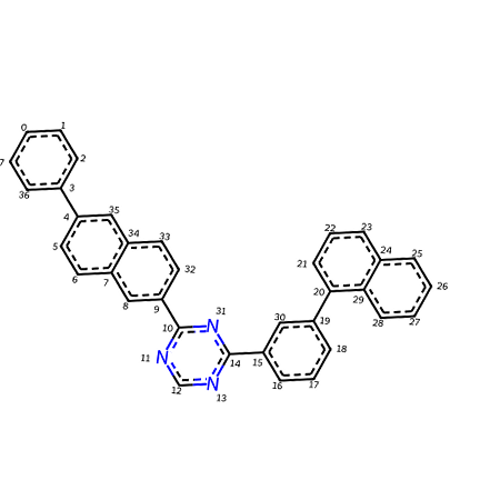 c1ccc(-c2ccc3cc(-c4ncnc(-c5cccc(-c6cccc7ccccc67)c5)n4)ccc3c2)cc1